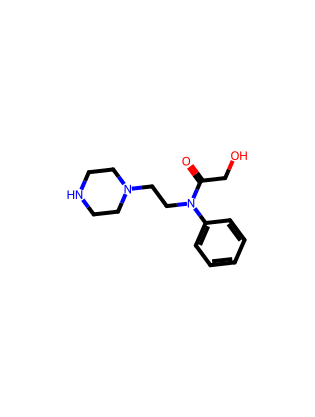 O=C(CO)N(CCN1CCNCC1)c1ccccc1